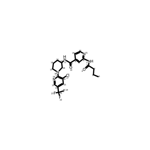 CCCC(=O)Nc1cc(C(=O)NC2CCCN(c3ncc(C(F)(F)F)cc3Cl)C2)ccn1